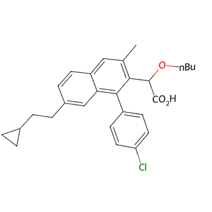 CCCCOC(C(=O)O)c1c(C)cc2ccc(CCC3CC3)cc2c1-c1ccc(Cl)cc1